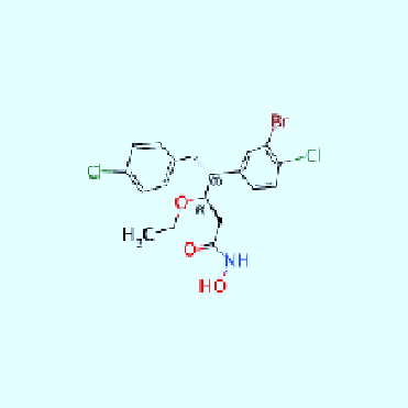 CCO[C@H](CC(=O)NO)[C@H](Cc1ccc(Cl)cc1)c1ccc(Cl)c(Br)c1